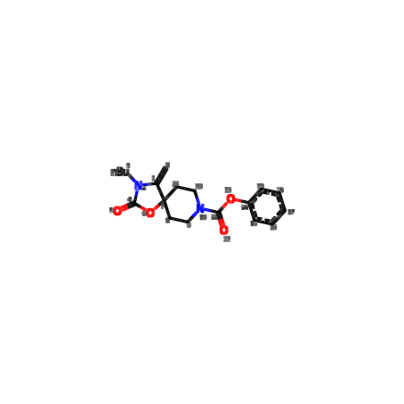 C=C1N(CCCC)C(=O)OC12CCN(C(=O)Oc1ccccc1)CC2